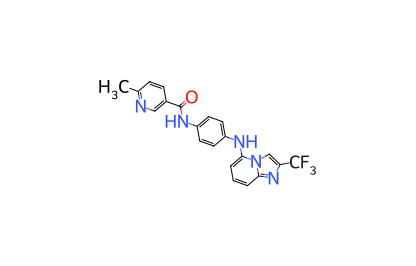 Cc1ccc(C(=O)Nc2ccc(Nc3cccc4nc(C(F)(F)F)cn34)cc2)cn1